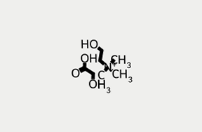 C[N+](C)(C)CCO.O=C(O)CO